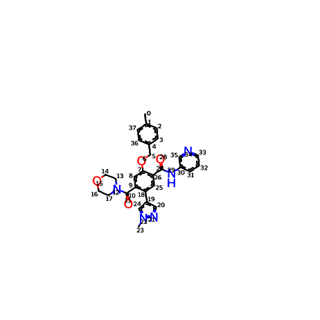 Cc1ccc(COc2cc(C(=O)N3CCOCC3)c(-c3cnn(C)c3)cc2C(=O)Nc2cccnc2)cc1